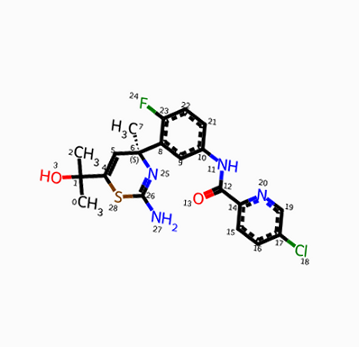 CC(C)(O)C1=C[C@@](C)(c2cc(NC(=O)c3ccc(Cl)cn3)ccc2F)N=C(N)S1